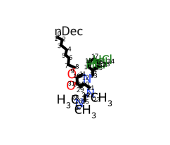 CCCCCCCCCCCCCCCCCCOc1cn(Cc2ccccc2)c(CN(C)CCN(C)C)cc1=O.Cl.Cl.Cl